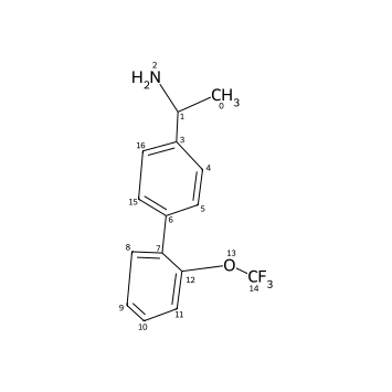 CC(N)c1ccc(-c2ccccc2OC(F)(F)F)cc1